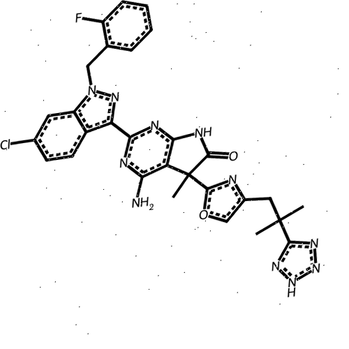 CC(C)(Cc1coc(C2(C)C(=O)Nc3nc(-c4nn(Cc5ccccc5F)c5cc(Cl)ccc45)nc(N)c32)n1)c1nn[nH]n1